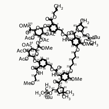 C=CCOC(=O)c1cc(COC(=O)Nc2cc(OCCCCCOc3cc(NC(=O)OCc4ccc(O[C@@H]5O[C@H](C(=O)OC)[C@@H](OC(C)=O)[C@H](OC(C)=O)[C@H]5OC(C)=O)c(C(=O)NCCOC)c4)c(C(=O)N4CC(C)(C)C[C@H]4CO[Si](C)(C)C(C)(C)C)cc3OC)c(OC)cc2C(=O)N2CC(=C)C[C@H]2CO[Si](C)(C)C(C)(C)C)ccc1O[C@@H]1O[C@H](C(=O)OC)[C@@H](OC(C)=O)[C@H](OC(C)=O)[C@H]1OC(C)=O